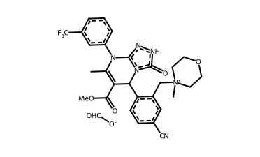 COC(=O)C1=C(C)N(c2cccc(C(F)(F)F)c2)c2n[nH]c(=O)n2C1c1ccc(C#N)cc1C[N+]1(C)CCOCC1.O=C[O-]